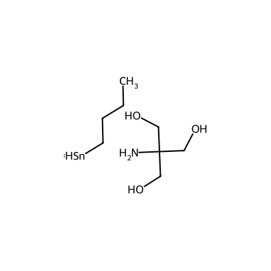 CCC[CH2][SnH].NC(CO)(CO)CO